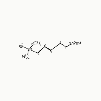 CCCCCCCCCC[Si](C)(C)[Na]